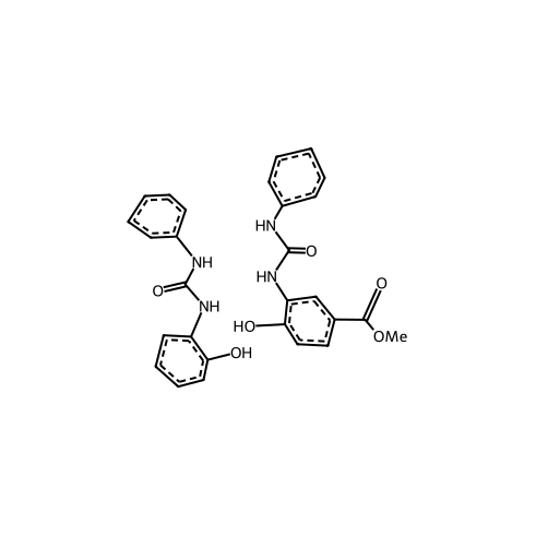 COC(=O)c1ccc(O)c(NC(=O)Nc2ccccc2)c1.O=C(Nc1ccccc1)Nc1ccccc1O